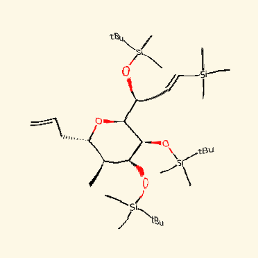 C=CC[C@@H]1O[C@@H]([C@H](/C=C/[Si](C)(C)C)O[Si](C)(C)C(C)(C)C)[C@@H](O[Si](C)(C)C(C)(C)C)[C@@H](O[Si](C)(C)C(C)(C)C)[C@H]1C